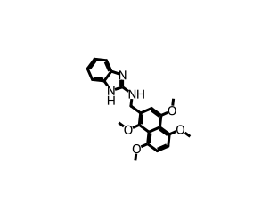 COc1ccc(OC)c2c(OC)c(CNc3nc4ccccc4[nH]3)cc(OC)c12